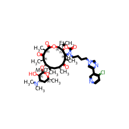 C=C[C@]12OC(=O)N(CCCCn3cnc(-c4cnccc4Cl)c3)[C@@H]1[C@@H](C)C(=O)[C@H](C)C[C@](C)(OC)[C@H](OC1O[C@H](C)C[C@H](N(C)C)[C@H]1O)[C@@H](C)C(=O)[C@@H](C)C(=O)O[C@@H]2CC